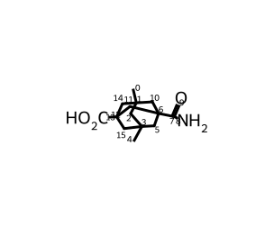 CC12CC3(C)CC(C(N)=O)(C1)CC(C(=O)O)(C2)C3